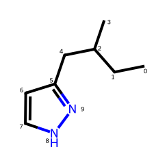 CCC(C)Cc1cc[nH]n1